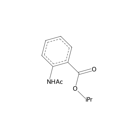 CC(=O)Nc1ccccc1C(=O)OC(C)C